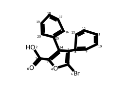 O=C(O)c1oc(Br)c(-c2ccccc2)c1-c1ccccc1